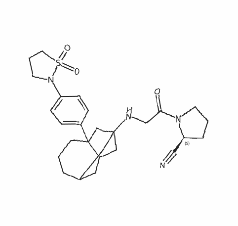 N#C[C@@H]1CCCN1C(=O)CNC12CC3CC1CCCC3(c1ccc(N3CCCS3(=O)=O)cc1)C2